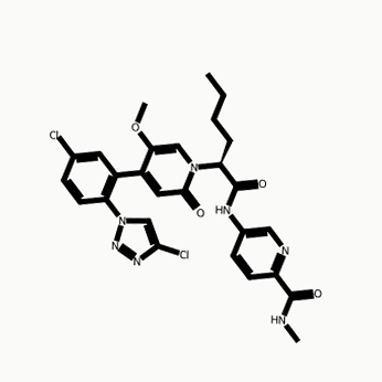 CCCC[C@@H](C(=O)Nc1ccc(C(=O)NC)nc1)n1cc(OC)c(-c2cc(Cl)ccc2-n2cc(Cl)nn2)cc1=O